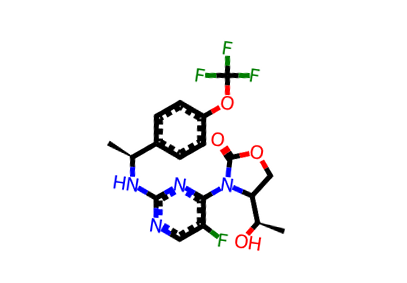 C[C@H](Nc1ncc(F)c(N2C(=O)OCC2[C@@H](C)O)n1)c1ccc(OC(F)(F)F)cc1